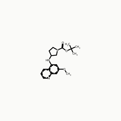 COc1cc(NC2CCN(C(=O)OC(C)(C)C)C2)c2cccnc2c1